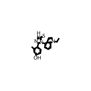 CCn1ccc2c(-n3c(-c4ccc(O)cc4C)n[nH]c3=S)cccc21